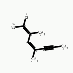 CC#C/C(C)=C\C(C)=C(\Cl)CC